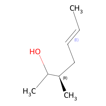 C/C=C/C[C@@H](C)C(C)O